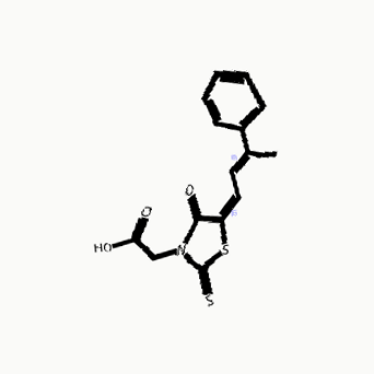 C/C(=C\C=C1\SC(=S)N(CC(=O)O)C1=O)c1ccccc1